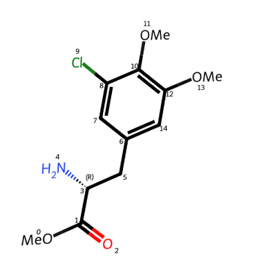 COC(=O)[C@H](N)Cc1cc(Cl)c(OC)c(OC)c1